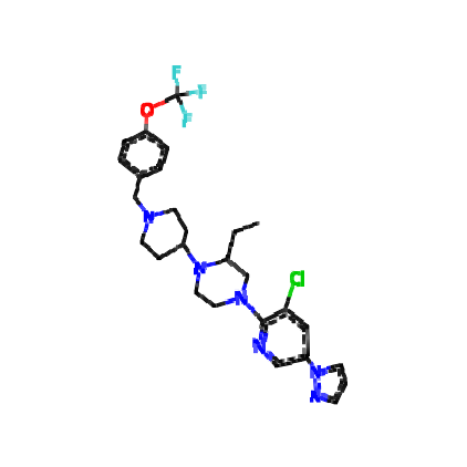 CCC1CN(c2ncc(-n3cccn3)cc2Cl)CCN1C1CCN(Cc2ccc(OC(F)(F)F)cc2)CC1